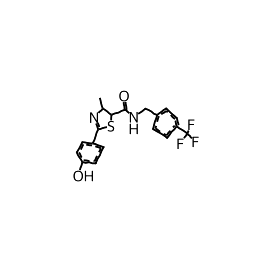 CC1N=C(c2ccc(O)cc2)SC1C(=O)NCc1ccc(C(F)(F)F)cc1